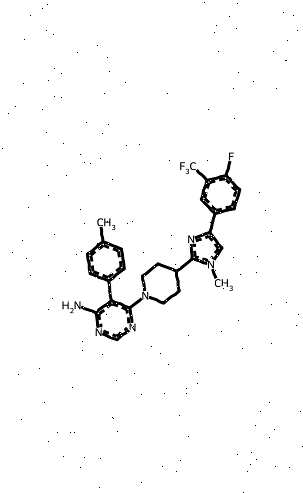 Cc1ccc(-c2c(N)ncnc2N2CCC(c3nc(-c4ccc(F)c(C(F)(F)F)c4)cn3C)CC2)cc1